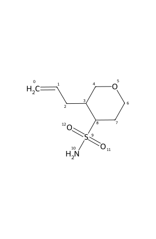 C=CCC1COCCC1S(N)(=O)=O